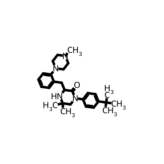 CN1CCN(c2ccccc2CC2NC(C)(C)CN(c3ccc(C(C)(C)C)cc3)C2=O)CC1